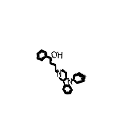 OC(CCCN1CCC2C(C1)c1ccccc1N2c1ccccc1)c1ccccc1